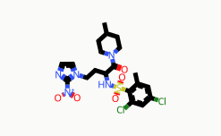 Cc1cc(Cl)cc(Cl)c1S(=O)(=O)NC(CCn1ccnc1[N+](=O)[O-])C(=O)N1CCC(C)CC1